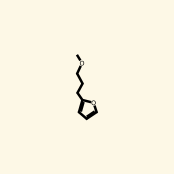 COCCCc1ccco1